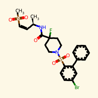 C[C@H](/C=C\S(C)(=O)=O)NC(=O)C1(F)CCN(S(=O)(=O)c2ccc(Br)cc2-c2ccccc2)CC1